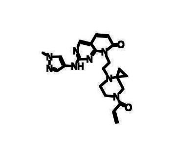 C=CC(=O)N1CCN(CCn2c(=O)ccc3cnc(Nc4cnn(C)c4)nc32)C2(CC2)C1